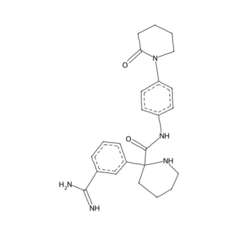 N=C(N)c1cccc(C2(C(=O)Nc3ccc(N4CCCCC4=O)cc3)CCCCN2)c1